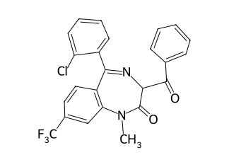 CN1C(=O)C(C(=O)c2ccccc2)N=C(c2ccccc2Cl)c2ccc(C(F)(F)F)cc21